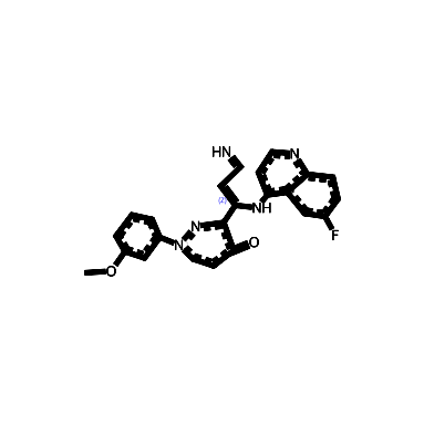 COc1cccc(-n2ccc(=O)c(/C(=C/C=N)Nc3ccnc4ccc(F)cc34)n2)c1